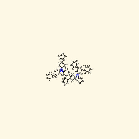 c1ccc(-c2ccc(N(c3ccc(-c4ccccc4)cc3)c3cccc(-c4ccccc4-c4ccc5c(c4)c4ccccc4n5-c4cc(-c5ccccc5)cc(-c5ccccc5)c4)c3)cc2)cc1